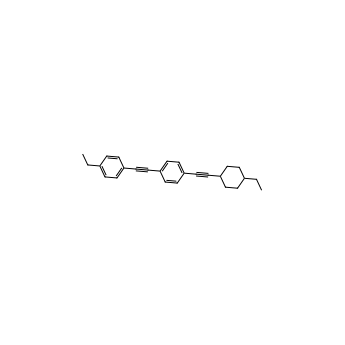 CCc1ccc(C#Cc2ccc(C#CC3CCC(CC)CC3)cc2)cc1